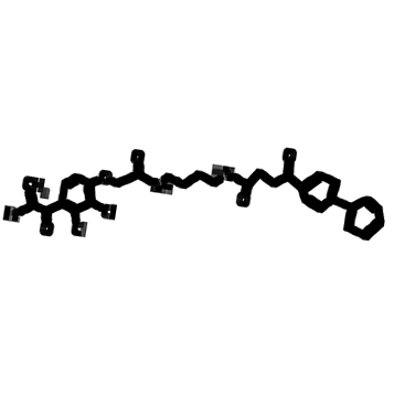 C=C(CC)C(=O)c1ccc(OCC(=O)NCCCCNC(=O)CCC(=O)c2ccc(-c3ccccc3)cc2)c(Cl)c1Cl